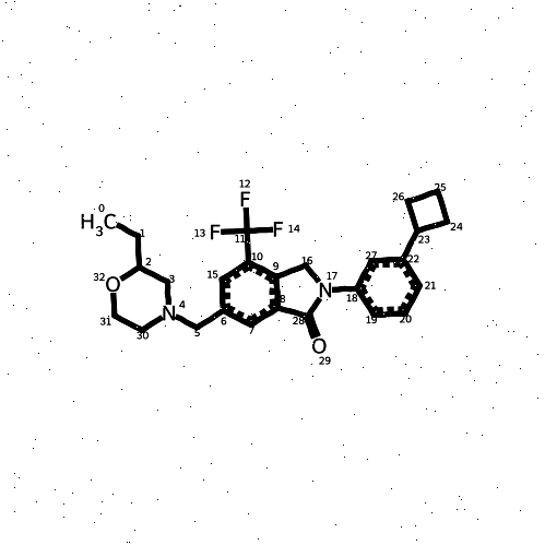 CCC1CN(Cc2cc3c(c(C(F)(F)F)c2)CN(c2cccc(C4CCC4)c2)C3=O)CCO1